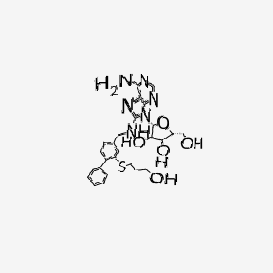 Nc1ncnc2c1nc(NCc1ccc(-c3ccccc3)c(SCCCO)c1)n2[C@@H]1O[C@H](CO)C(O)C1O